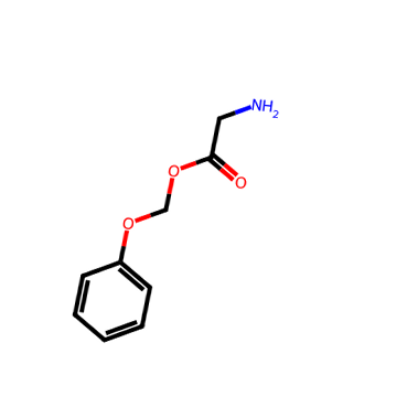 NCC(=O)OCOc1ccccc1